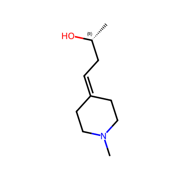 C[C@@H](O)CC=C1CCN(C)CC1